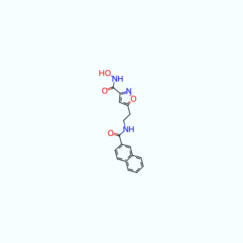 O=C(NCCc1cc(C(=O)NO)no1)c1ccc2ccccc2c1